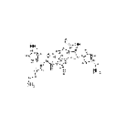 NCCON=C(C(=O)NC1C(=O)N2CC(CSc3nnc(CN)s3)(C(=O)O)CS[C@H]12)c1csc(N)n1